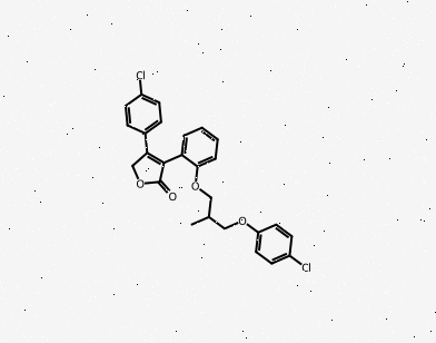 CC(COc1ccc(Cl)cc1)COc1ccccc1C1=C(c2ccc(Cl)cc2)COC1=O